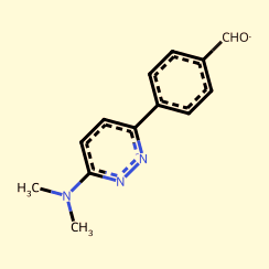 CN(C)c1ccc(-c2ccc([C]=O)cc2)nn1